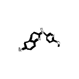 COc1ccc(Nc2ccc3cc(Br)ccc3n2)cn1